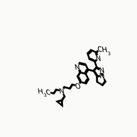 CCCN(CCCOc1ccc2c(-c3c(-c4cccc(C)n4)nn4c3CCC4)ccnc2c1)CC1CC1